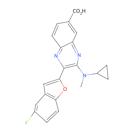 CN(c1nc2cc(C(=O)O)ccc2nc1-c1cc2cc(F)ccc2o1)C1CC1